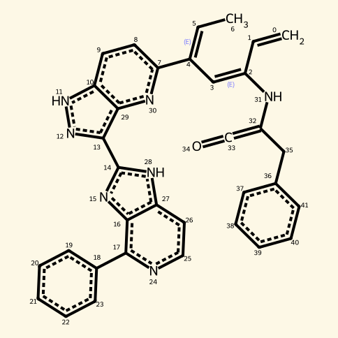 C=C/C(=C\C(=C/C)c1ccc2[nH]nc(-c3nc4c(-c5ccccc5)nccc4[nH]3)c2n1)NC(=C=O)Cc1ccccc1